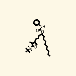 CCCCCCCCCC(CCCc1coc([Si](C)(C)C(C)(C)C)c1C)OC(=O)Nc1ccccc1